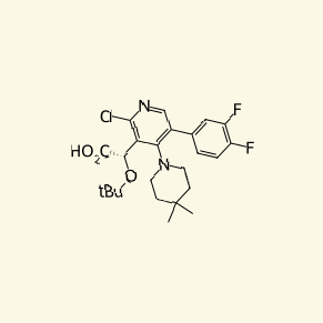 CC1(C)CCN(c2c(-c3ccc(F)c(F)c3)cnc(Cl)c2[C@H](OC(C)(C)C)C(=O)O)CC1